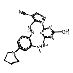 CNc1cc(N2CCCC2)ccc1/N=N/c1c(C#N)cnn1-c1nc(O)nc(O)n1